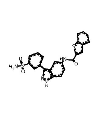 NS(=O)(=O)c1cccc(-c2n[nH]c3ccc(NC(=O)c4cc5ccccc5s4)cc23)c1